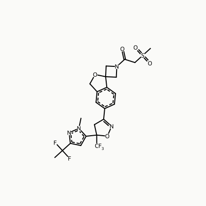 Cn1nc(C(C)(F)F)cc1C1(C(F)(F)F)CC(c2ccc3c(c2)COC32CN(C(=O)CS(C)(=O)=O)C2)=NO1